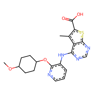 COC1CCC(Oc2ncccc2Nc2ncnc3sc(C(=O)O)c(C)c23)CC1